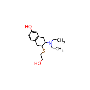 CCN(CC)C1Cc2cc(O)ccc2CC1SCCO